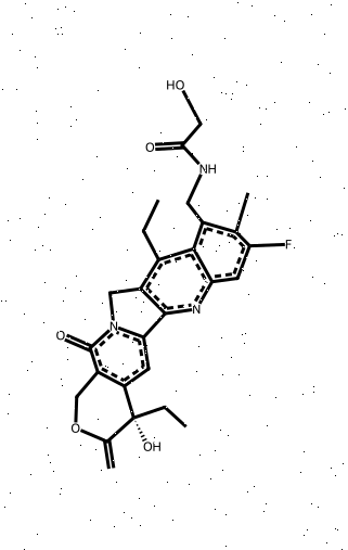 C=C1OCc2c(cc3n(c2=O)Cc2c-3nc3cc(F)c(C)c(CNC(=O)CO)c3c2CC)[C@@]1(O)CC